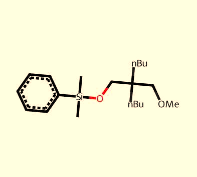 CCCCC(CCCC)(COC)CO[Si](C)(C)c1ccccc1